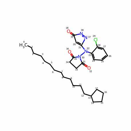 CCCCCCCCCCCCCC1CCCC1.O=C1C=C(N(c2ccccc2Cl)N2C(=O)CCC2=O)N=N1